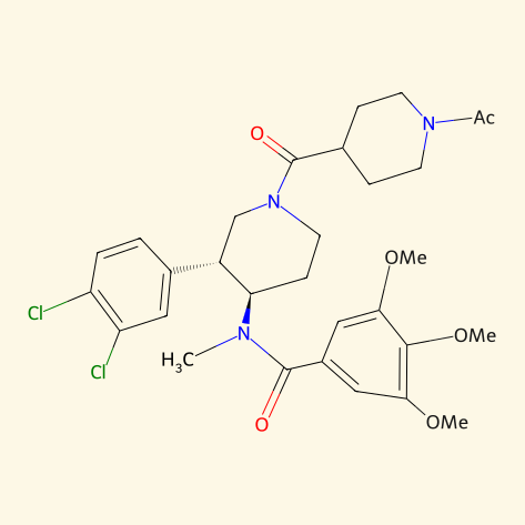 COc1cc(C(=O)N(C)[C@@H]2CCN(C(=O)C3CCN(C(C)=O)CC3)C[C@H]2c2ccc(Cl)c(Cl)c2)cc(OC)c1OC